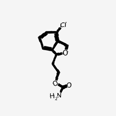 NC(=O)OCCC1OCc2c(Cl)cccc21